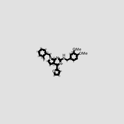 COc1ccc(CNc2nc(-c3ccco3)c3ccn(Cc4ccccc4F)c3n2)cc1OC